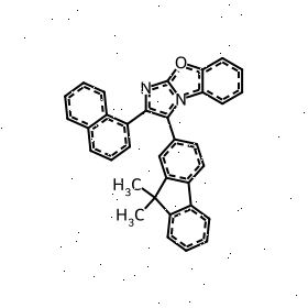 CC1(C)c2ccccc2-c2ccc(-c3c(-c4cccc5ccccc45)nc4oc5ccccc5n34)cc21